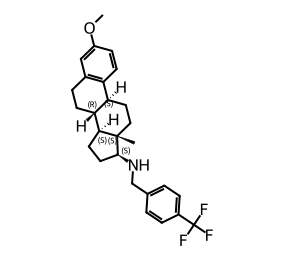 COc1ccc2c(c1)CC[C@@H]1[C@@H]2CC[C@]2(C)[C@@H](NCc3ccc(C(F)(F)F)cc3)CC[C@@H]12